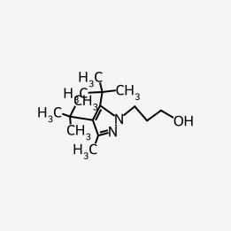 Cc1nn(CCCO)c(C(C)(C)C)c1C(C)(C)C